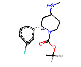 CNC1CCN(C(=O)OC(C)(C)C)[C@H](c2cccc(F)c2)C1